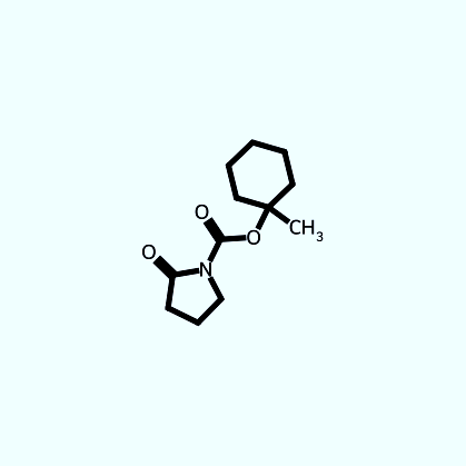 CC1(OC(=O)N2CCCC2=O)CCCCC1